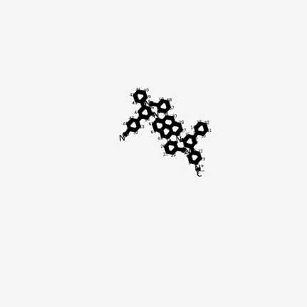 [C-]#[N+]c1ccc(-c2cc(-c3ccccc3)cc(N(c3ccccc3C#N)c3ccc4ccc5c(N(c6cc(-c7ccccc7)cc(-c7ccc(C#N)cc7)c6)c6ccccc6C#N)ccc6ccc3c4c65)c2)cc1